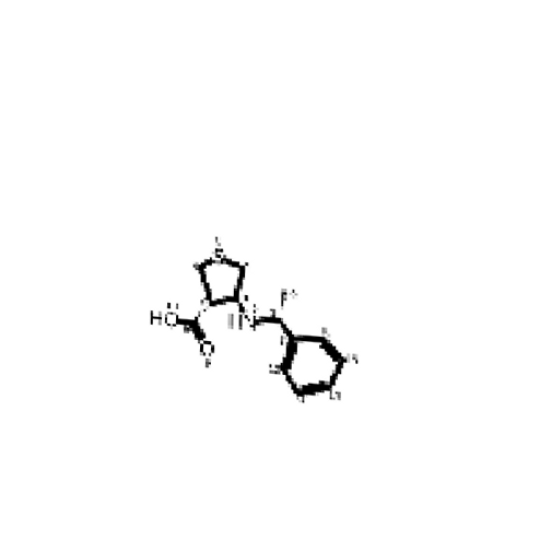 C[C@@H](N[C@@H]1CSC[C@H]1C(=O)O)c1ccccc1